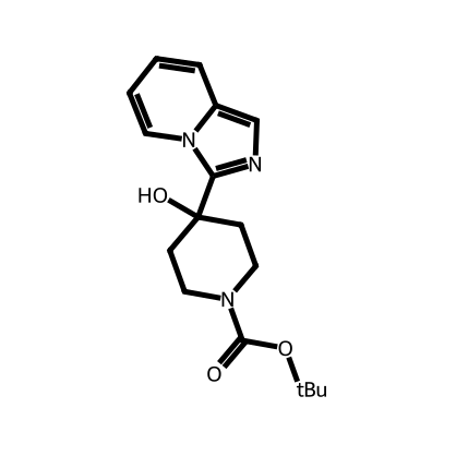 CC(C)(C)OC(=O)N1CCC(O)(c2ncc3ccccn23)CC1